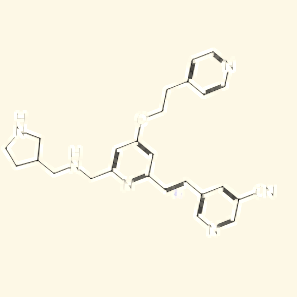 N#Cc1cncc(/C=C/c2cc(OCCc3ccncc3)cc(CNCC3CCNC3)n2)c1